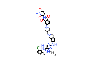 Cc1cccc(Cl)c1Nc1nn(C)c2nc(Nc3ccc4c(c3)CN(CC3CCN(c5ccc6c(c5)C(=O)N(C5CCC(=O)NC5=O)C6=O)CC3)CC4)ncc12